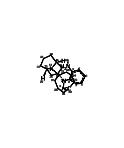 CC(=O)N(c1ccccc1N)[C@H]1C[C@H]2CCC[C@@H](C1)N2C1CCCCCCC1